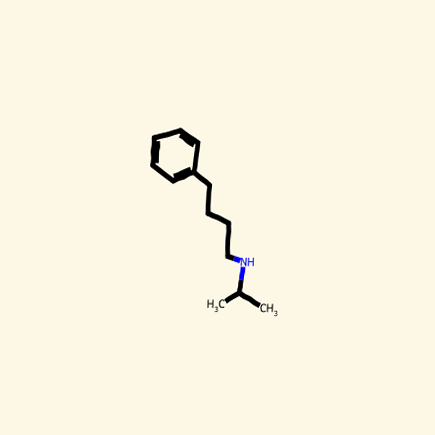 CC(C)NCCCCc1ccccc1